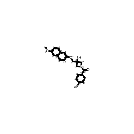 COc1ccc2cc(OCC3(S)CN(C(=O)c4ccc(F)cc4)C3)ccc2c1